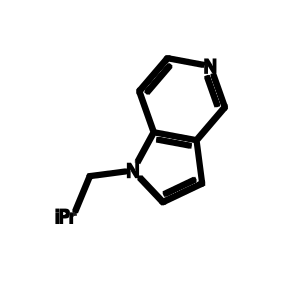 CC(C)Cn1ccc2cnccc21